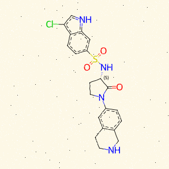 O=C1[C@@H](NS(=O)(=O)c2ccc3c(Cl)c[nH]c3c2)CCN1c1ccc2c(c1)CCNC2